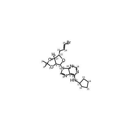 CC1(C)OC2[C@H](n3cnc4c(NC5CCCC5)ncnc43)O[C@H](CC=CBr)[C@H]2O1